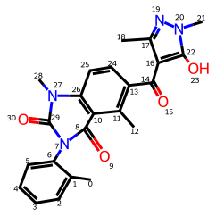 Cc1ccccc1-n1c(=O)c2c(C)c(C(=O)c3c(C)nn(C)c3O)ccc2n(C)c1=O